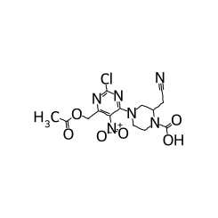 CC(=O)OCc1nc(Cl)nc(N2CCN(C(=O)O)C(CC#N)C2)c1[N+](=O)[O-]